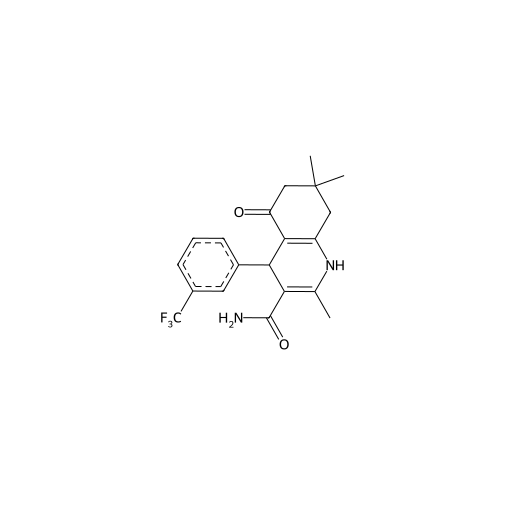 CC1=C(C(N)=O)C(c2cccc(C(F)(F)F)c2)C2=C(CC(C)(C)CC2=O)N1